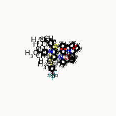 CC(C)(C)c1ccc(N2c3cc([SH](C)(C)(C)c4ccc(C(F)(F)F)cc4)cc4c3B(c3ccc(N(c5ccccc5-c5ccccc5)c5ccccc5-c5ccccc5)cc3N4c3cccc4c3oc3ccccc34)c3sc4ccc(C(C)(C)C)cc4c32)cc1